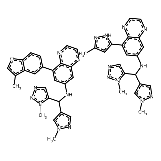 Cc1cc(-c2cc(NC(c3cnn(C)c3)c3cnnn3C)cc3nccnc23)[nH]n1.Cc1coc2ccc(-c3cc(NC(c4cnn(C)c4)c4cnnn4C)cc4nccnc34)cc12